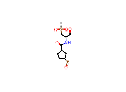 CS(=O)(=O)CC(C=O)NC(=O)C1CCC([S+]=O)C1